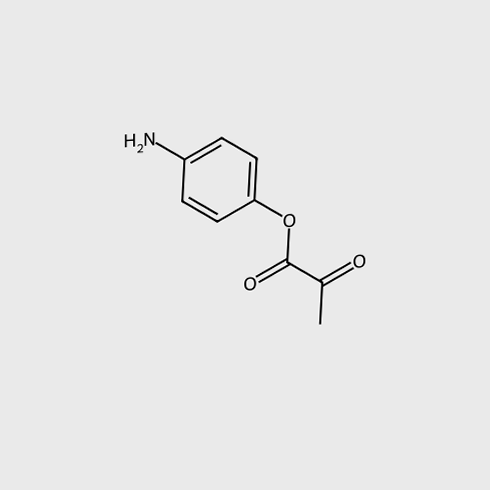 CC(=O)C(=O)Oc1ccc(N)cc1